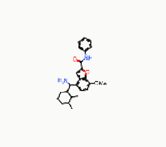 COc1ccc(C(N)C2CCCC(C)C2C)c2cc(C(=O)Nc3ccccc3)oc12